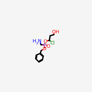 NCP(=O)(OCc1ccccc1)OC(Cl)CCO